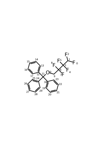 FC(F)C(F)(F)C(F)(F)COC(c1ccccc1)(c1ccccc1)c1ccccc1